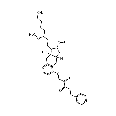 CCCCC[C@@H](CC[C@H]1[C@H](OI)C[C@@H]2Cc3c(cccc3OCC(=O)C(=O)OCc3ccccc3)C[C@@]21O)OC